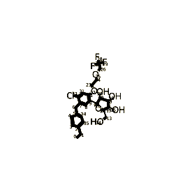 CCc1ccc(Cc2cc([C@@H]3O[C@H](CO)[C@@H](O)[C@H](O)[C@H]3O)c(OCCOCC(F)(F)F)cc2Cl)cc1